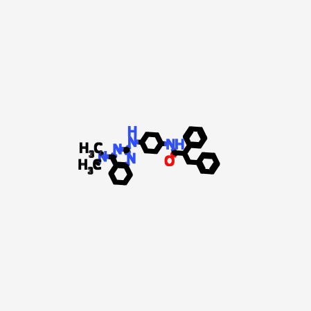 CN(C)c1nc(NC2CCC(NC(=O)C(Cc3ccccc3)c3ccccc3)CC2)nc2c1CCCC2